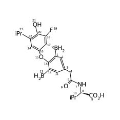 Bc1cc(CC(=O)N[C@@H](C(=O)O)C(C)C)cc(B)c1Oc1cc(F)c(O)c(C(C)C)c1